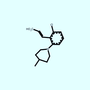 CC1CCN(c2cccc(Cl)c2/C=C/C(=O)O)CC1